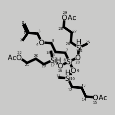 C=C(C)COCCC[Si](O[SiH](C)CCCOC(C)=O)(O[SiH](C)CCCOC(C)=O)O[SiH](C)CCCOC(C)=O